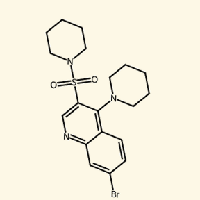 O=S(=O)(c1cnc2cc(Br)ccc2c1N1CCCCC1)N1CCCCC1